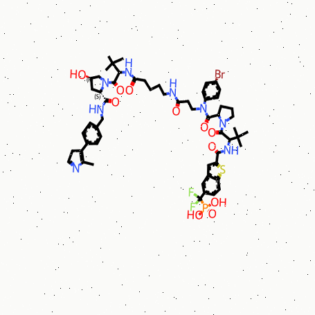 CC1=C(c2ccc(CNC(=O)[C@@H]3C[C@@H](O)CN3C(=O)C(NC(=O)CCCCNC(=O)CCN(C(=O)C3CCCN3C(=O)C(NC(=O)c3cc4cc(C(F)(F)P(=O)(O)O)ccc4s3)C(C)(C)C)c3ccc(Br)cc3)C(C)(C)C)cc2)CC=N1